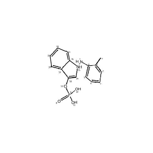 Cc1ccccc1N.O=P(O)(O)Oc1c[nH]c2ccccc12